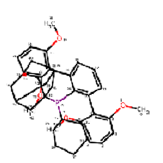 COc1cccc(OC)c1-c1cccc(-c2c(OC)cccc2OC)c1P(C1CCCCC1)C12CC3CC(CC(C3)C1)C2